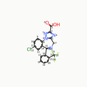 O=C(O)c1nc2n(n1)-c1ccc(Cl)cc1C(c1ccccc1C(F)(F)F)=NC2